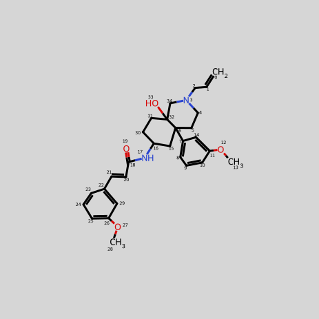 C=CCN1CCC2(c3cccc(OC)c3)CC(NC(=O)/C=C/c3cccc(OC)c3)CCC2(O)C1